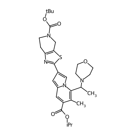 Cc1c(C(=O)OC(C)C)cc2cc(-c3nc4c(s3)CN(C(=O)OC(C)(C)C)CC4)cn2c1C(C)N1CCOCC1